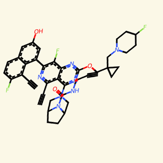 C#CCNC(=O)N1C2CCC1CN(c1nc(OCC3(CN4CCC(F)CC4)CC3)nc3c(F)c(-c4cc(O)cc5ccc(F)c(C#C)c45)nc(C#C)c13)C2